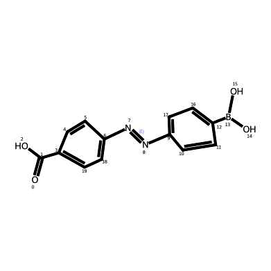 O=C(O)c1ccc(/N=N/c2ccc(B(O)O)cc2)cc1